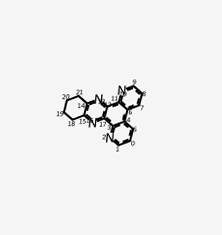 c1cnc2c(c1)c1cccnc1c1nc3c(nc21)CCCC3